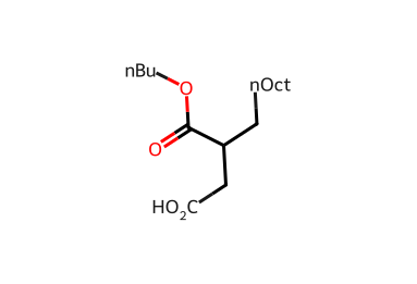 CCCCCCCCCC(CC(=O)O)C(=O)OCCCC